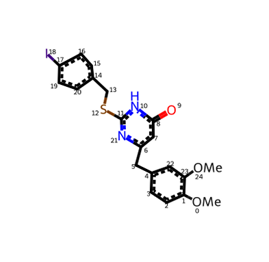 COc1ccc(Cc2cc(=O)[nH]c(SCc3ccc(I)cc3)n2)cc1OC